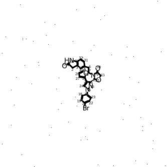 O=C1Cc2cc(CCN3C(=O)CO[C@H]3c3nn(-c4ccc(Br)cc4)cc3-c3ccco3)ccc2N1